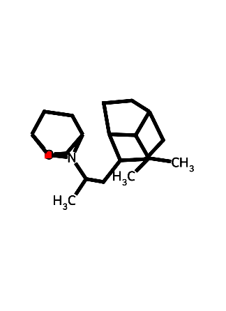 CC(C)C1C2CCC(CC(C)N3CC4CCC3CO4)C1CC2